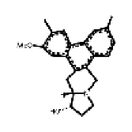 COc1cc2c3c(c4ccc(C)cc4c2cc1C)CN1CC[C@H](O)[C@@H]1C3